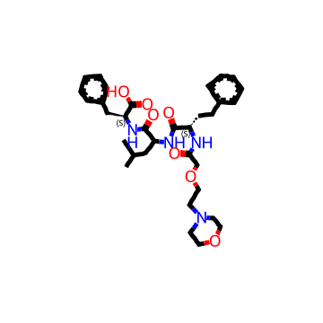 CC(C)CC(NC(=O)[C@H](CCc1ccccc1)NC(=O)COCCN1CCOCC1)C(=O)N[C@@H](Cc1ccccc1)C(=O)O